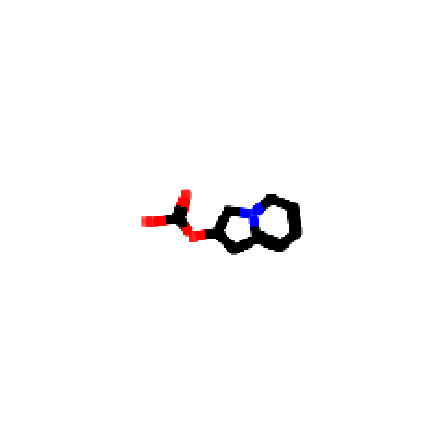 O=C(O)OC1CC2=CC=CCN2C1